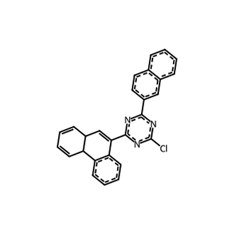 Clc1nc(C2=CC3C=CC=CC3c3ccccc32)nc(-c2ccc3ccccc3c2)n1